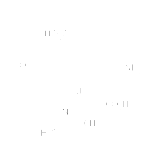 C[N+](C)(C)CCO.NC(CCC(=O)O)C(=O)O.[Cl-]